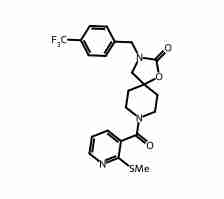 CSc1ncccc1C(=O)N1CCC2(CC1)CN(Cc1ccc(C(F)(F)F)cc1)C(=O)O2